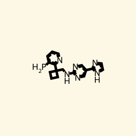 Pc1cccnc1C1(CNc2ncc(-c3ncc[nH]3)cn2)CCC1